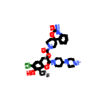 O=C1Nc2ccccc2C2(CCN(C(=O)O[C@H](Cc3cc(Cl)c(O)c(C(F)(F)F)c3)C(=O)N3CCC(N4CCNCC4)CC3)CC2)O1